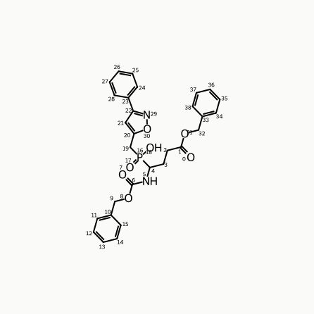 O=C(CCC(NC(=O)OCc1ccccc1)P(=O)(O)Cc1cc(-c2ccccc2)no1)OCc1ccccc1